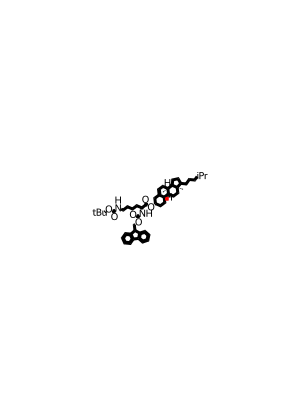 CC(C)CCCC1CC[C@H]2[C@]3(C)CC=C4CC(OC(=O)C(CCCCNC(=O)OC(C)(C)C)NC(=O)OCC5c6ccccc6-c6ccccc65)CC[C@]4(C)[C@H]3CC[C@]12C